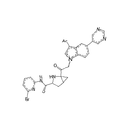 CC(=O)c1cn(CC(=O)C23CC2CC(C(=O)Nc2cccc(Br)n2)N3)c2ccc(-c3cncnc3)cc12